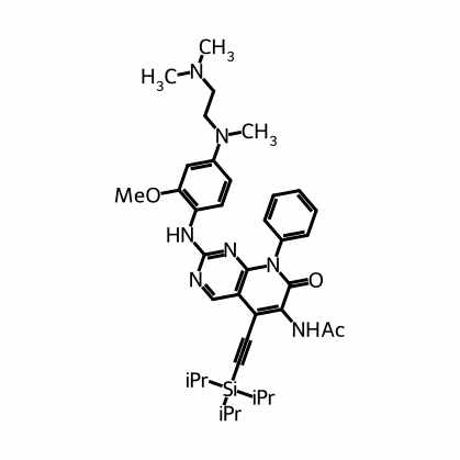 COc1cc(N(C)CCN(C)C)ccc1Nc1ncc2c(C#C[Si](C(C)C)(C(C)C)C(C)C)c(NC(C)=O)c(=O)n(-c3ccccc3)c2n1